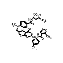 CN(Cc1cnc2nc(N)nc(N)c2n1)c1ccc(C(=O)N[C@@H](CCC(=O)O)C(=O)O)cc1.Cc1oncc1C(=O)Nc1ccc(C(F)(F)F)cc1